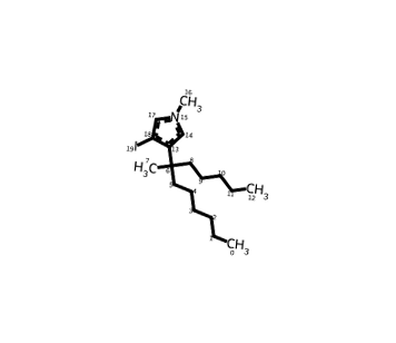 CCCCCCC(C)(CCCCC)c1cn(C)cc1I